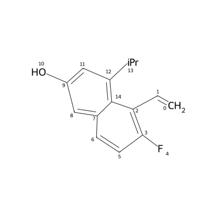 C=Cc1c(F)ccc2cc(O)cc(C(C)C)c12